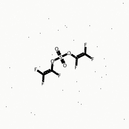 O=S(=O)(OC(F)=C(F)F)OC(F)=C(F)F